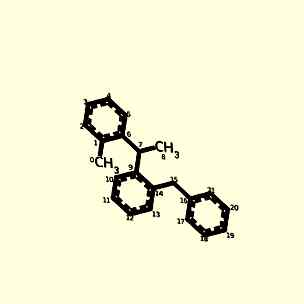 Cc1ccccc1C(C)c1ccccc1Cc1ccccc1